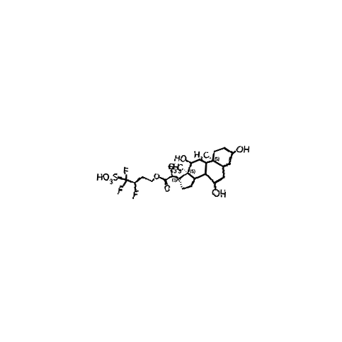 C[C@H](C(=O)OCCC(F)C(F)(F)S(=O)(=O)O)[C@H]1CCC2C3C(O)CC4CC(O)CC[C@]4(C)C3CC(O)[C@@]21C